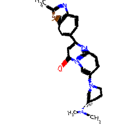 Cc1nc2ccc(-c3cc(=O)n4cc(N5CC[C@H](N(C)C)C5)ccc4n3)cc2s1